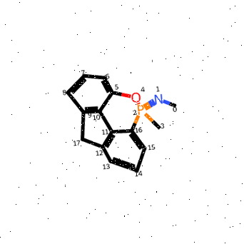 CN=P1(C)Oc2cccc3c2-c2c(cccc21)C3